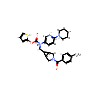 CC(C)(C)c1ccc(C(=O)N2CC3C(C2)C3CN(C(=O)Oc2cccs2)c2ccc(N3CCCCC3)nc2)cc1